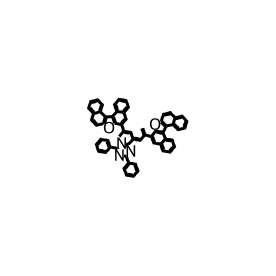 C=C(/C=C(\C=C(/C)c1cc2ccccc2c2c1oc1ccc3ccccc3c12)c1nc(-c2ccccc2)nc(-c2ccccc2)n1)c1cc2ccccc2c2c1oc1ccc3ccccc3c12